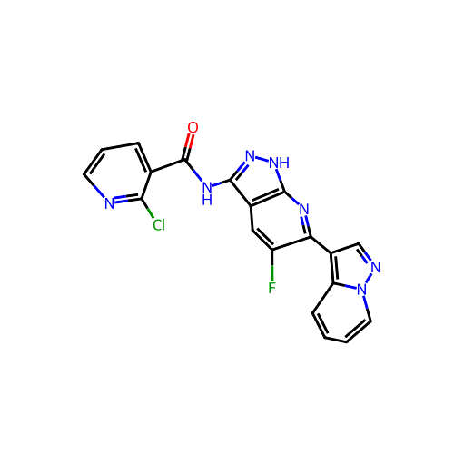 O=C(Nc1n[nH]c2nc(-c3cnn4ccccc34)c(F)cc12)c1cccnc1Cl